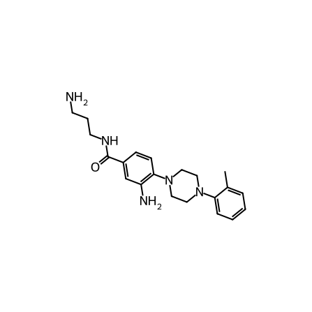 Cc1ccccc1N1CCN(c2ccc(C(=O)NCCCN)cc2N)CC1